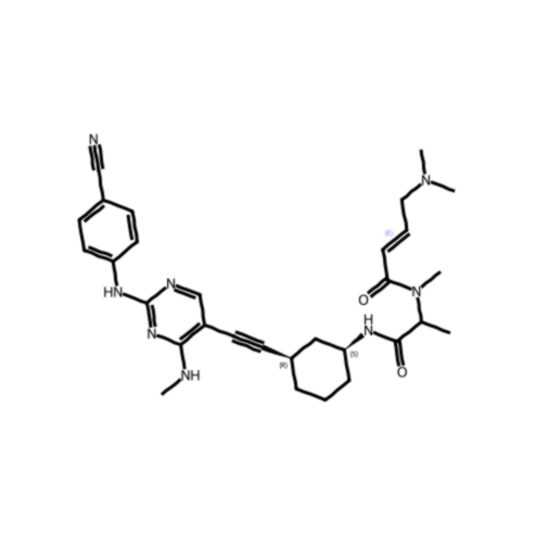 CNc1nc(Nc2ccc(C#N)cc2)ncc1C#C[C@@H]1CCC[C@H](NC(=O)C(C)N(C)C(=O)/C=C/CN(C)C)C1